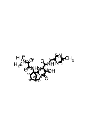 Cc1cnc(CNC(=O)c2nc3n(c(=O)c2O)CC2CCC3(NC(=O)C(=O)N(C)C)CC2)cn1